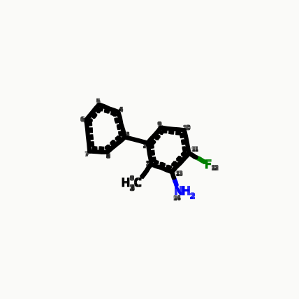 Cc1c(-c2ccccc2)ccc(F)c1N